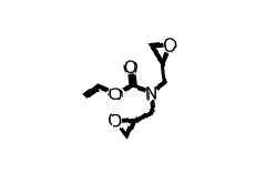 C=COC(=O)N(CC1CO1)CC1CO1